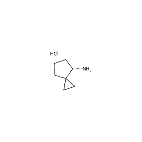 Cl.NC1CCCC12CC2